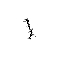 CC(C)(NC(=O)CCNC(=O)CCC(N)C(=O)O)C(S)S